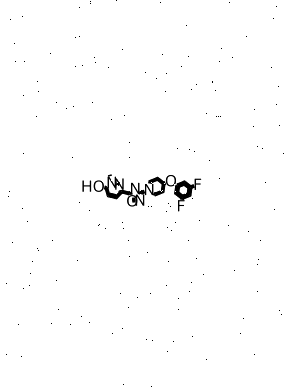 CN1N=C(c2nc(N3CCC(Oc4cc(F)cc(F)c4)CC3)no2)C=CC1O